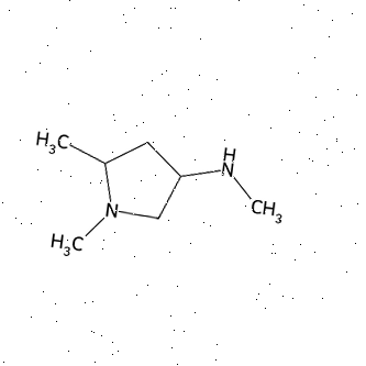 CNC1CC(C)N(C)C1